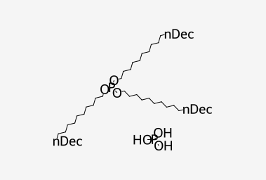 CCCCCCCCCCCCCCCCCCCCOP(OCCCCCCCCCCCCCCCCCCCC)OCCCCCCCCCCCCCCCCCCCC.OP(O)O